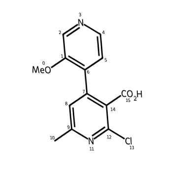 COc1cnccc1-c1cc(C)nc(Cl)c1C(=O)O